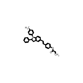 C=CC(=O)Oc1ccc(C=Cc2ccc3c(c2)CC(c2ccccc2)N3c2ccc(C)cc2)cc1